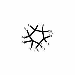 [2H]C1([2H])C(F)(F)C([2H])(C)C([2H])([2H])[C@]([2H])(C)C1([2H])[2H]